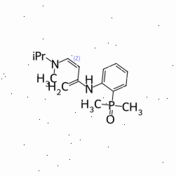 C=C(/C=C\N(C)C(C)C)Nc1ccccc1P(C)(C)=O